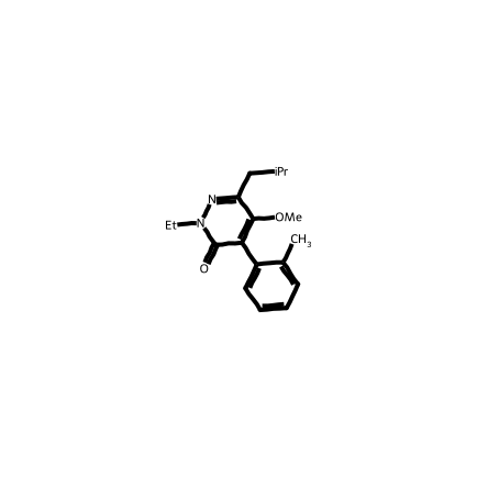 CCn1nc(CC(C)C)c(OC)c(-c2ccccc2C)c1=O